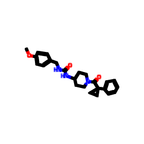 COc1ccc(CNC(=O)NC2CCN(C(=O)C3(c4ccccc4)CC3)CC2)cc1